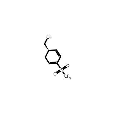 O=S(=O)(C1=CC[C@@H](CO)C=C1)C(F)(F)F